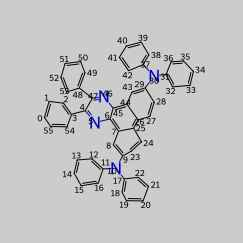 c1ccc(-c2nc3c4cc(N(c5ccccc5)c5ccccc5)ccc4c4ccc(N(c5ccccc5)c5ccccc5)cc4c3nc2-c2ccccc2)cc1